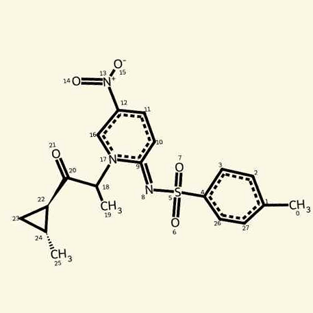 Cc1ccc(S(=O)(=O)N=c2ccc([N+](=O)[O-])cn2C(C)C(=O)[C@@H]2C[C@H]2C)cc1